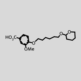 COc1cc(C(=O)O)ccc1OCCCCCCOC1CCCCO1